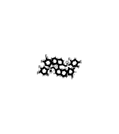 O=P(Cc1ccc2ccccc2c1-c1c(CP(=O)(c2cc(F)c(F)cc2F)c2cc(F)c(F)cc2F)ccc2ccccc12)(c1cc(F)c(F)cc1F)c1cc(F)c(F)cc1F